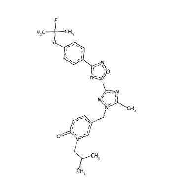 Cc1nc(-c2nc(-c3ccc(OC(C)(C)F)cc3)no2)nn1Cc1ccc(=O)n(CC(C)C)c1